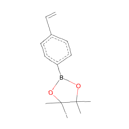 C=Cc1ccc(B2OC(C)(C)C(C)(C)O2)cc1